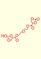 O=C1OCC(C(=O)OCCOCCOC(=O)C2COC(O)O2)O1